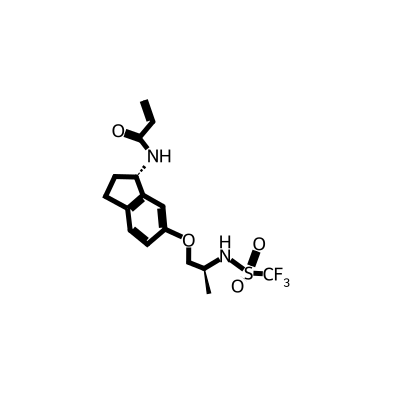 C=CC(=O)N[C@H]1CCc2ccc(OC[C@H](C)NS(=O)(=O)C(F)(F)F)cc21